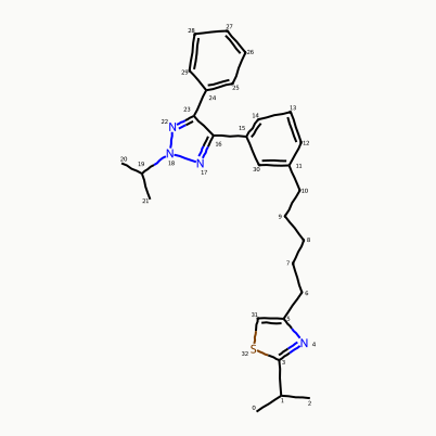 CC(C)c1nc(CCCCCc2cccc(-c3nn(C(C)C)nc3-c3ccccc3)c2)cs1